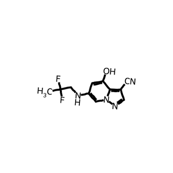 CC(F)(F)CNc1cc(O)c2c(C#N)cnn2c1